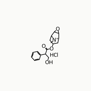 C[N+]1(C)C2CC(OC(=O)C(CO)c3ccccc3)CC1C1OC12.Cl